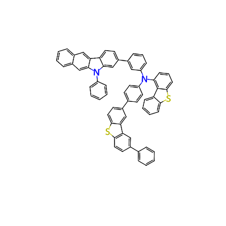 c1ccc(-c2ccc3sc4ccc(-c5ccc(N(c6cccc(-c7ccc8c9cc%10ccccc%10cc9n(-c9ccccc9)c8c7)c6)c6cccc7sc8ccccc8c67)cc5)cc4c3c2)cc1